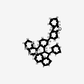 c1ccc(C2c3cccc4cccc(c34)C2c2cc(-c3ccc4oc5ccccc5c4c3)ccc2-c2ncnc3nccnc23)cc1